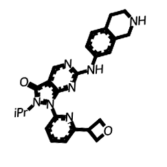 CC(C)n1c(=O)c2cnc(Nc3ccc4c(c3)CNCC4)nc2n1-c1cccc(C2COC2)n1